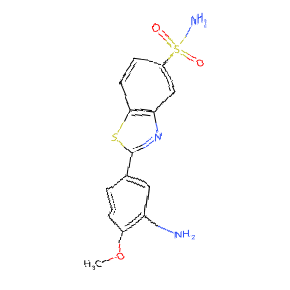 COc1ccc(-c2nc3cc(S(N)(=O)=O)ccc3s2)cc1N